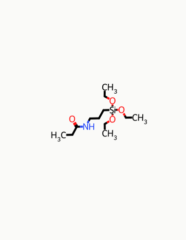 CCO[Si](CCCNC(=O)CC)(OCC)OCC